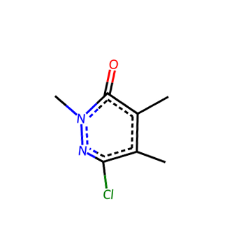 Cc1c(Cl)nn(C)c(=O)c1C